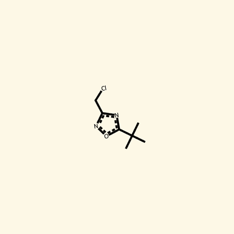 CC(C)(C)c1nc(CCl)no1